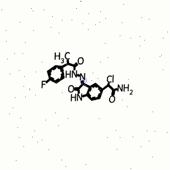 CC(C(=O)N/N=C1\C(=O)Nc2ccc(C(Cl)C(N)=O)cc21)c1ccc(F)cc1